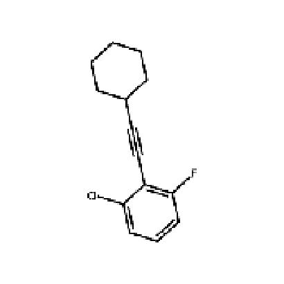 Fc1cccc(Cl)c1C#CC1CCCCC1